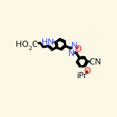 CC(C)Oc1ccc(-c2nc(-c3ccc4[nH]c(CCC(=O)O)cc4c3)no2)cc1C#N